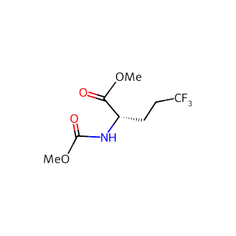 COC(=O)N[C@@H](CCC(F)(F)F)C(=O)OC